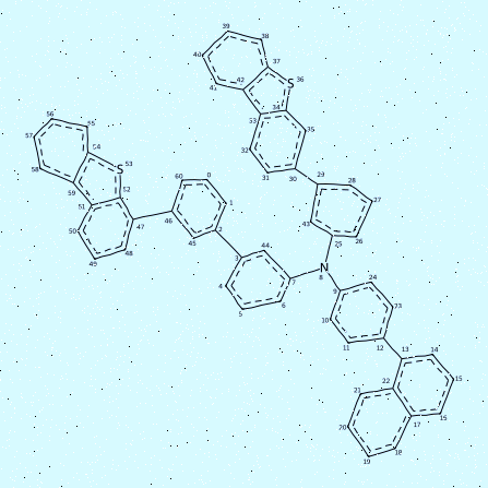 c1cc(-c2cccc(N(c3ccc(-c4cccc5ccccc45)cc3)c3cccc(-c4ccc5c(c4)sc4ccccc45)c3)c2)cc(-c2cccc3c2sc2ccccc23)c1